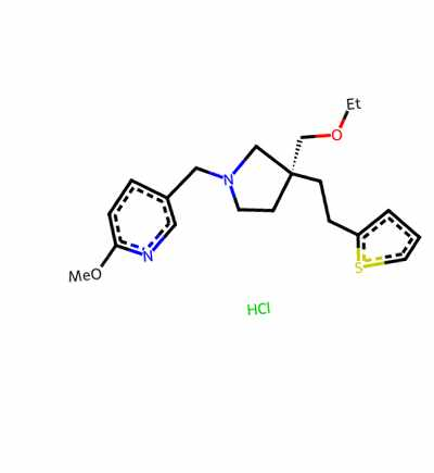 CCOC[C@]1(CCc2cccs2)CCN(Cc2ccc(OC)nc2)C1.Cl